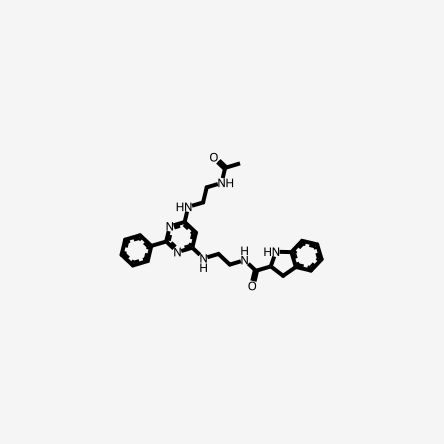 CC(=O)NCCNc1cc(NCCNC(=O)C2Cc3ccccc3N2)nc(-c2ccccc2)n1